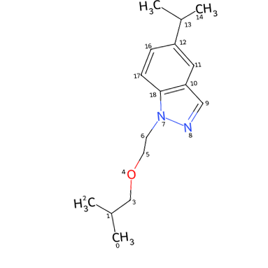 CC(C)COCCn1ncc2cc(C(C)C)ccc21